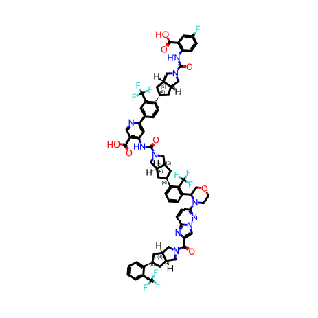 O=C(O)c1cc(F)ccc1NC(=O)N1C[C@H]2C[C@@H](c3ccc(-c4cc(NC(=O)N5C[C@H]6C[C@@H](c7cccc(C8COCCN8c8ccc9nc(C(=O)N%10C[C@H]%11C[C@@H](c%12ccccc%12C(F)(F)F)C[C@H]%11C%10)cn9n8)c7C(F)(F)F)C[C@H]6C5)c(C(=O)O)cn4)cc3C(F)(F)F)C[C@H]2C1